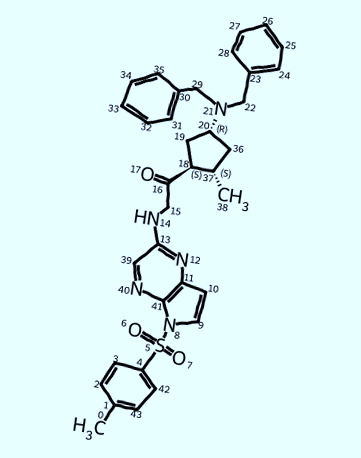 Cc1ccc(S(=O)(=O)n2ccc3nc(NCC(=O)[C@H]4C[C@H](N(Cc5ccccc5)Cc5ccccc5)C[C@@H]4C)cnc32)cc1